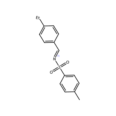 CCc1ccc(/C=N/S(=O)(=O)c2ccc(C)cc2)cc1